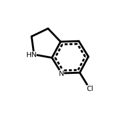 Clc1ccc2c(n1)NCC2